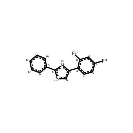 Fc1ccc(-c2csc(-c3ccccc3)n2)c(F)c1